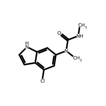 CNC(=O)N(C)c1cc(Cl)c2cc[nH]c2c1